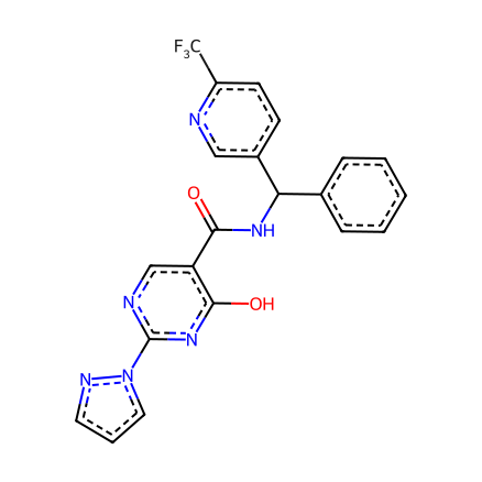 O=C(NC(c1ccccc1)c1ccc(C(F)(F)F)nc1)c1cnc(-n2cccn2)nc1O